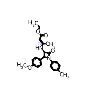 CCOC(=O)/C=C(\C)NC1C(=O)N(c2ccc(C)cc2)C1c1ccc(OC)cc1